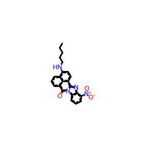 CCCCCNc1ccc2c3c1cccc3c(=O)n1c3cccc([N+](=O)[O-])c3nc21